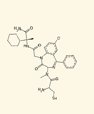 CN(C(=O)C(N)CS)C1N=C(c2ccccc2)c2cc(Cl)ccc2N(CC(=O)N[C@@](C)(C(N)=O)C2CCCCC2)C1=O